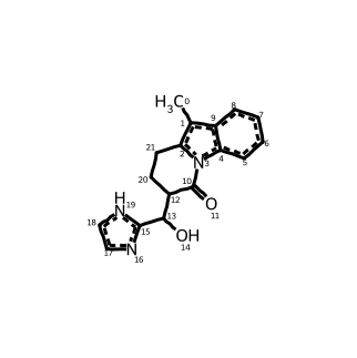 Cc1c2n(c3ccccc13)C(=O)C(C(O)c1ncc[nH]1)CC2